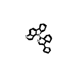 c1ccc(-c2cnc(-n3c4ccccc4c4ccc5sccc5c43)c3ccccc23)cc1